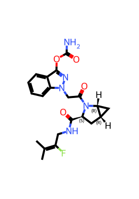 CC(C)=C(F)CNC(=O)[C@@H]1C[C@H]2C[C@H]2N1C(=O)Cn1nc(OC(N)=O)c2ccccc21